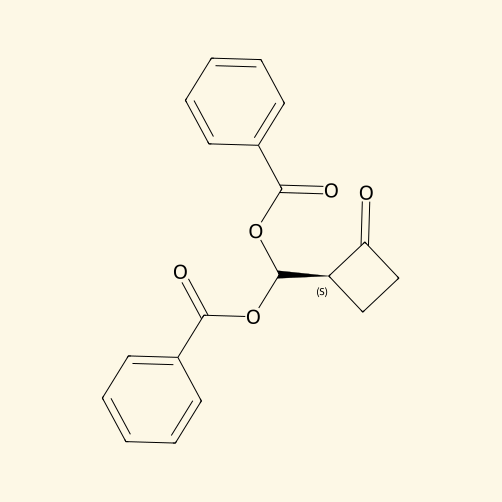 O=C(OC(OC(=O)c1ccccc1)[C@@H]1CCC1=O)c1ccccc1